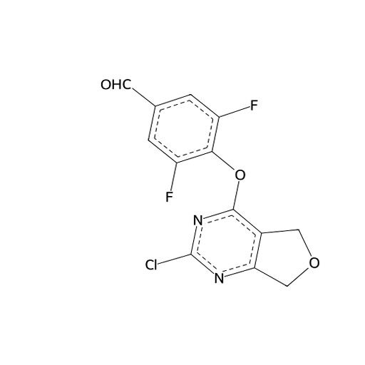 O=Cc1cc(F)c(Oc2nc(Cl)nc3c2COC3)c(F)c1